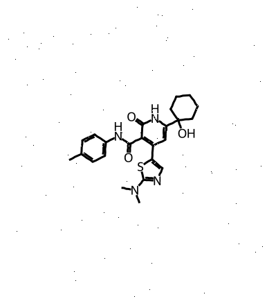 Cc1ccc(NC(=O)c2c(-c3cnc(N(C)C)s3)cc(C3(O)CCCCC3)[nH]c2=O)cc1